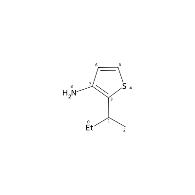 CCC(C)c1sccc1N